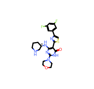 O=c1[nH]c(N2CCOCC2)nc(N[C@@H]2CCCNC2)c1-c1nc(-c2cc(F)cc(F)c2)cs1